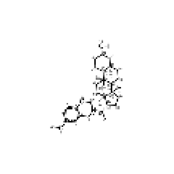 COc1ccc2c(c1)CN(C(C)[C@H]1CC[C@H]3[C@@H]4CCC5CC(O)CC[C@]5(C)[C@H]4CC[C@]13C)CO2